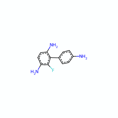 Nc1ccc(-c2c(N)ccc(N)c2F)cc1